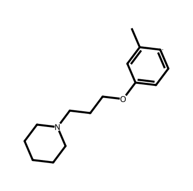 Cc1[c]ccc(OCCCN2CCCCC2)c1